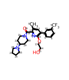 Cc1cc(-c2cccc(C(F)(F)F)c2)c(OCCO)nc1C(=O)N1CCC(N2CCCC2)CC1